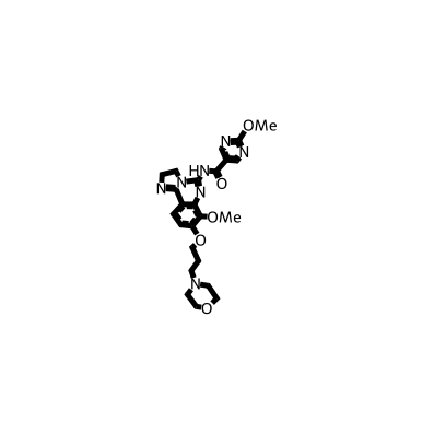 COc1ncc(C(=O)NC2=Nc3c(ccc(OCCCN4CCOCC4)c3OC)C3=NCCN23)cn1